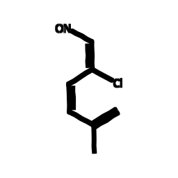 C=C(C)/C=C\C(Cl)=C/N=O